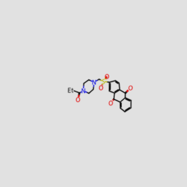 CCC(=O)N1CCN(CS(=O)(=O)c2ccc3c(c2)C(=O)c2ccccc2C3=O)CC1